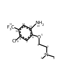 CN(C)CCOc1cc(Cl)c(C(F)(F)F)cc1N